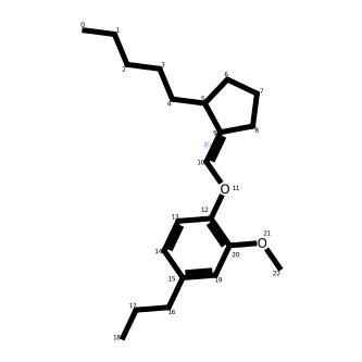 CCCCCC1CCC/C1=C\Oc1ccc(CCC)cc1OC